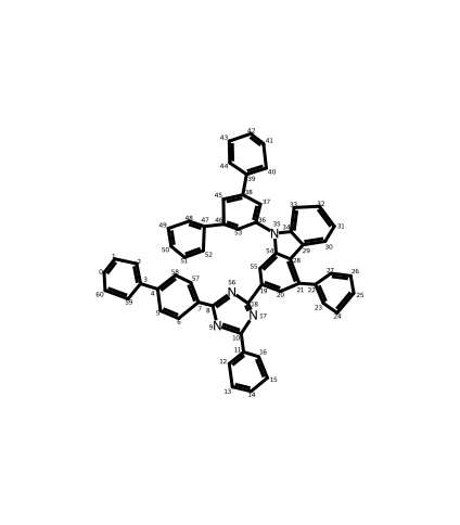 c1ccc(-c2ccc(-c3nc(-c4ccccc4)nc(-c4cc(-c5ccccc5)c5c6ccccc6n(-c6cc(-c7ccccc7)cc(-c7ccccc7)c6)c5c4)n3)cc2)cc1